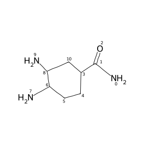 NC(=O)C1CCC(N)C(N)C1